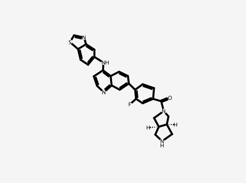 O=C(c1ccc(-c2ccc3c(Nc4ccc5scnc5c4)ccnc3c2)c(F)c1)N1C[C@H]2CNC[C@H]2C1